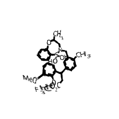 COc1cccc(C(CC(=O)O)c2ccc(C)c(CN3CC(C)Oc4ccccc4S3(O)O)c2)c1OC(F)(F)F